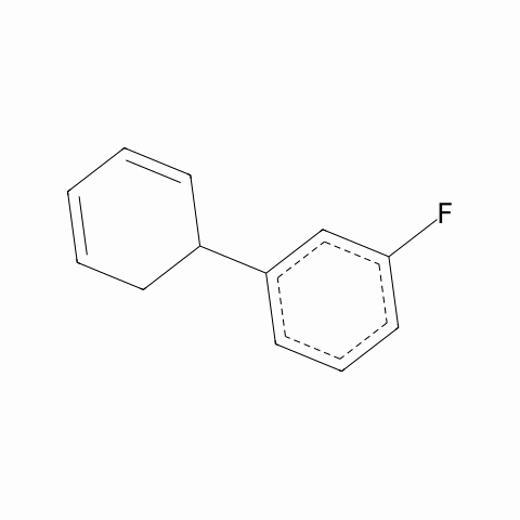 Fc1cccc(C2C=CC=CC2)c1